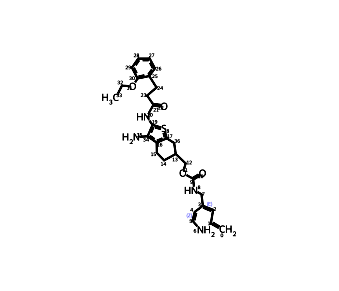 C=C/C=C(\C=C/N)CNC(=O)OCC1CCc2c(sc(NC(=O)CCc3ccccc3OCC)c2N)C1